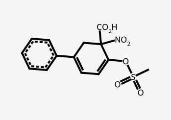 CS(=O)(=O)OC1=CC=C(c2ccccc2)CC1(C(=O)O)[N+](=O)[O-]